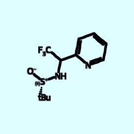 CC(C)(C)[S@+]([O-])NC(c1ccccn1)C(F)(F)F